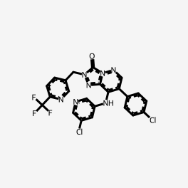 O=c1n(Cc2ccc(C(F)(F)F)nc2)nc2c(Nc3cncc(Cl)c3)c(-c3ccc(Cl)cc3)cnn12